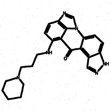 O=c1c2c(NCCCN3CCCCC3)ccc3ncn(c4ccc5[nH]ncc5c14)c32